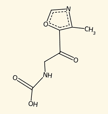 Cc1ncoc1C(=O)CNC(=O)O